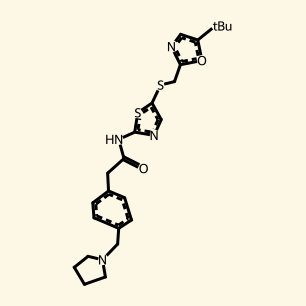 CC(C)(C)c1cnc(CSc2cnc(NC(=O)Cc3ccc(CN4CCCC4)cc3)s2)o1